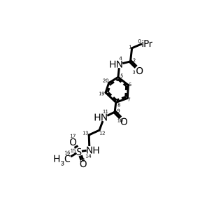 CC(C)CC(=O)Nc1ccc(C(=O)NCCNS(C)(=O)=O)cc1